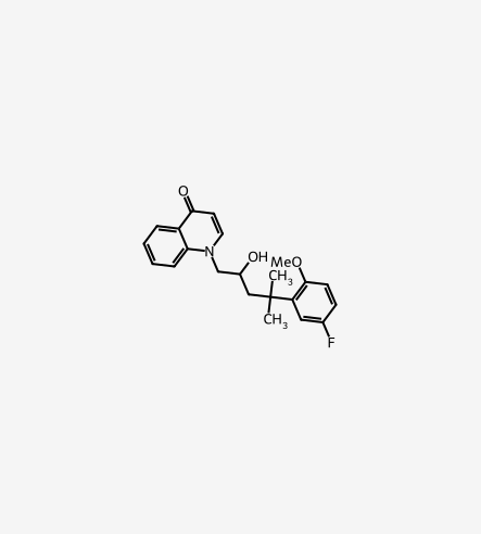 COc1ccc(F)cc1C(C)(C)CC(O)Cn1ccc(=O)c2ccccc21